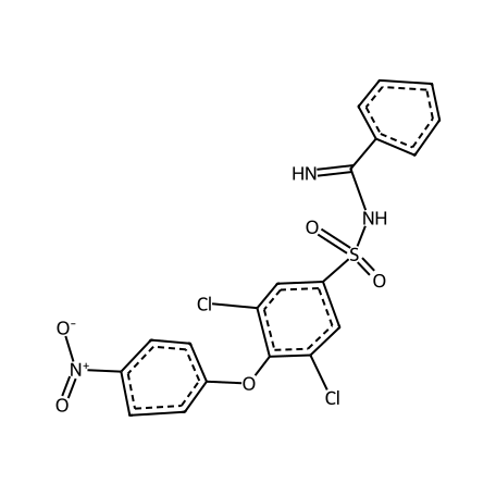 N=C(NS(=O)(=O)c1cc(Cl)c(Oc2ccc([N+](=O)[O-])cc2)c(Cl)c1)c1ccccc1